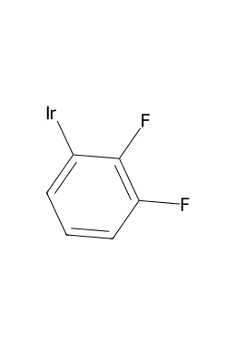 Fc1ccc[c]([Ir])c1F